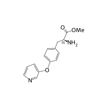 COC(=O)[C@@H](N)Cc1ccc(Oc2cccnc2)cc1